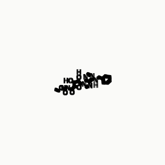 CCOC(=O)NC(=O)C1OC(n2cnc3c(NCc4ccccc4)ncnc32)C(O)C1O